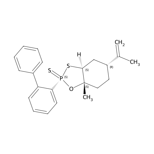 C=C(C)[C@@H]1CC[C@]2(C)O[P@](=S)(c3ccccc3-c3ccccc3)S[C@H]2C1